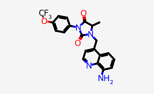 CC1C(=O)N(c2ccc(OC(F)(F)F)cc2)C(=O)N1Cc1ccnc2c(N)cccc12